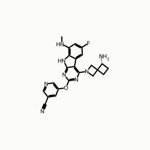 CNc1cc(F)cc2c1[nH]c1nc(Oc3cncc(C#N)c3)nc(N3CC4(CC[C@H]4N)C3)c12